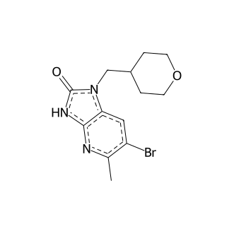 Cc1nc2[nH]c(=O)n(CC3CCOCC3)c2cc1Br